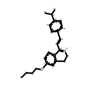 CCCCOc1ccc2c(c1)CCN=C2/C=C/c1ccc(C(C)C)cc1